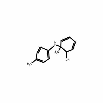 Cc1ccc(NC2([N+](=O)[O-])C=CC=CC2C#N)cc1